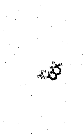 CCC1(CC)CCc2ccc(O[PH](=O)O)nc2N1